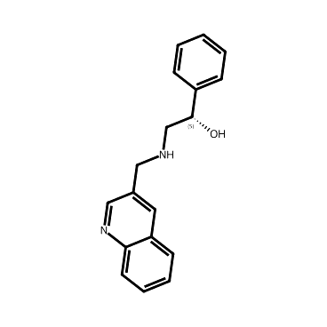 O[C@H](CNCc1cnc2ccccc2c1)c1ccccc1